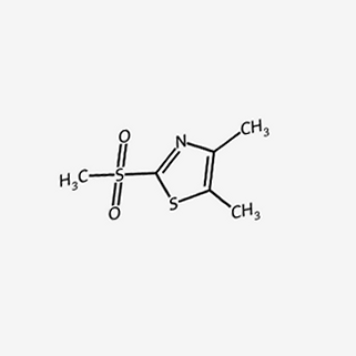 Cc1nc(S(C)(=O)=O)sc1C